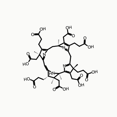 C[C@]1(CCC(=O)O)C2=NC(=C1CC(=O)O)[C@]1(C)N/C(=C\C3=NC(=C(CCC(=O)O)[C@]3(C)CC(=O)O)C[C@]3(C)N=C(C2)C(CCC(=O)O)=C3CC(=O)O)[C@@H](CCC(=O)O)[C@]1(C)CC(=O)O